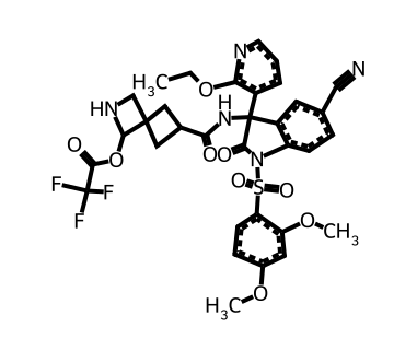 CCOc1ncccc1C1(NC(=O)C2CC3(CNC3OC(=O)C(F)(F)F)C2)C(=O)N(S(=O)(=O)c2ccc(OC)cc2OC)c2ccc(C#N)cc21